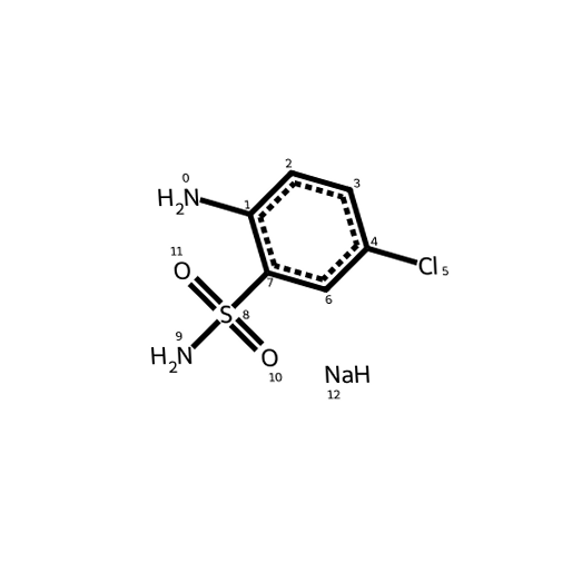 Nc1ccc(Cl)cc1S(N)(=O)=O.[NaH]